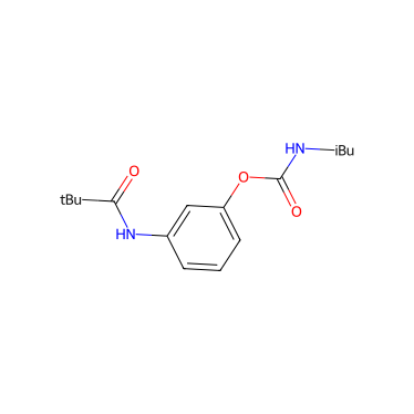 CCC(C)NC(=O)Oc1cccc(NC(=O)C(C)(C)C)c1